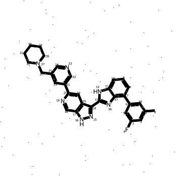 Cc1cc(F)cc(-c2cccc3[nH]c(-c4n[nH]c5cnc(-c6cncc(CN7CCCCC7)c6)cc45)nc23)c1